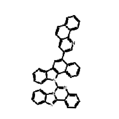 c1ccc2c(c1)ccc1cc(-c3cc4c5ccccc5n(-c5nc6ccccc6c6nc7ccccc7n56)c4c4ccccc34)cnc12